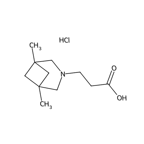 CC12CN(CCC(=O)O)CC(C)(C1)C2.Cl